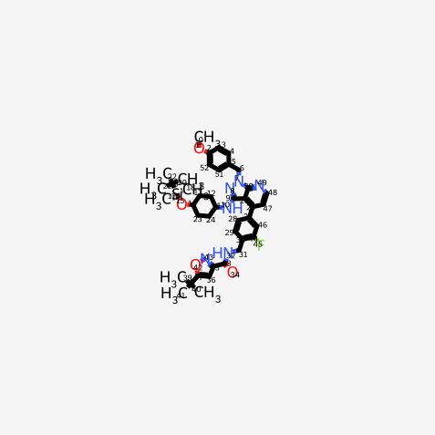 COc1ccc(Cn2nc(NC3CCC(O[Si](C)(C)C(C)(C)C)CC3)c3c(-c4ccc(CNC(=O)c5cc(C(C)(C)C)on5)c(F)c4)ccnc32)cc1